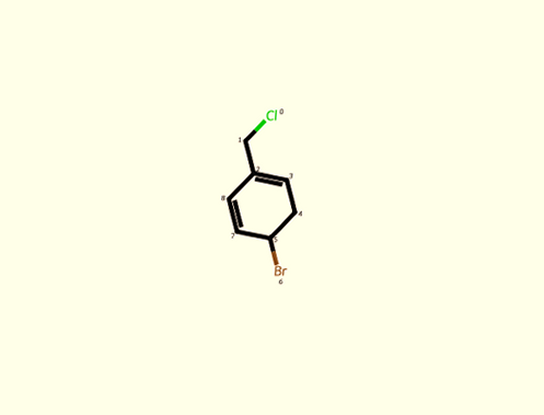 ClCC1=CC[C](Br)C=C1